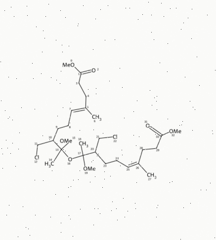 COC(=O)CCC(C)=CCCC(CCl)C(C)(OC)OC(C)(OC)C(CCl)CCC=C(C)CCC(=O)OC